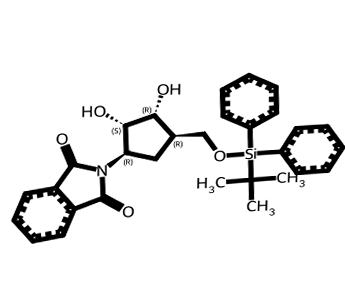 CC(C)(C)[Si](OC[C@H]1C[C@@H](N2C(=O)c3ccccc3C2=O)[C@H](O)[C@@H]1O)(c1ccccc1)c1ccccc1